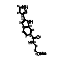 COCCNC(=O)c1ccc2cc(-c3cc[nH]n3)[nH]c2c1